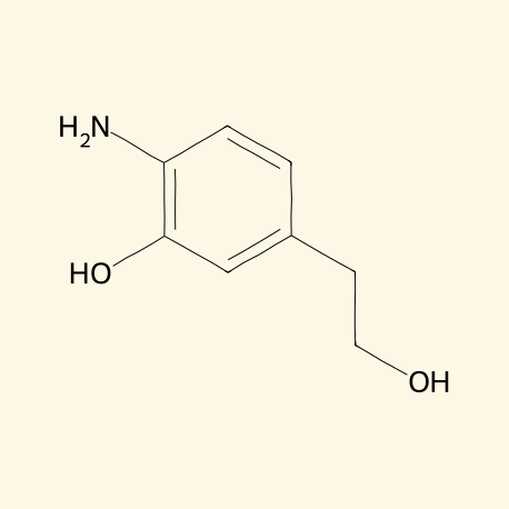 Nc1ccc(CCO)cc1O